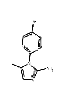 Cc1cnc(N)n1-c1ccc(Br)cc1